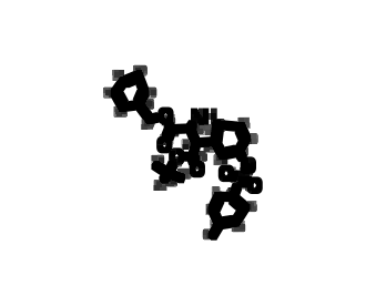 Cc1ccc(S(=O)(=O)Oc2cccc(C(C(=O)OC(C)(C)C)C(N)C(=O)OCc3ccccc3)c2)cc1